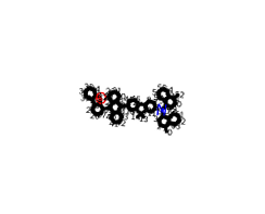 Cc1ccc(N(c2ccc3c(c2)C(C)(C)c2cc(-c4c5ccccc5c(-c5cccc6c5oc5ccccc56)c5ccccc45)ccc2-3)c2ccc(C)c3ccccc23)c2ccccc12